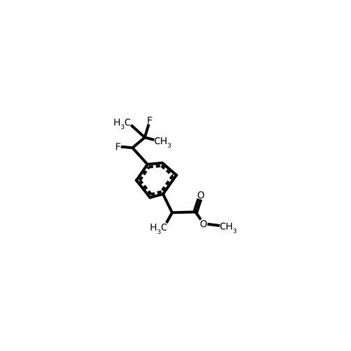 COC(=O)C(C)c1ccc(C(F)C(C)(C)F)cc1